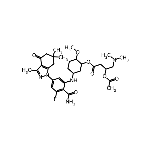 COC1CCC(Nc2cc(-n3nc(C)c4c3CC(C)(C)CC4=O)cc(F)c2C(N)=O)CC1OC(=O)CC(CN(C)C)OC(C)=O